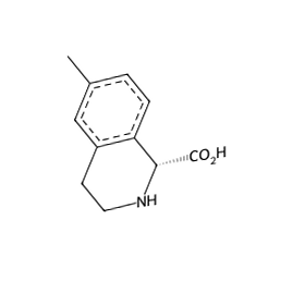 Cc1ccc2c(c1)CCN[C@H]2C(=O)O